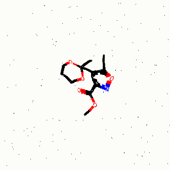 COC(=O)c1noc(C)c1C1(C)OCCCO1